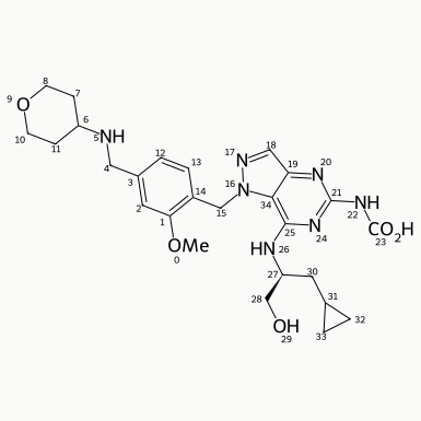 COc1cc(CNC2CCOCC2)ccc1Cn1ncc2nc(NC(=O)O)nc(N[C@H](CO)CC3CC3)c21